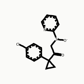 O=C(C[S+]([O-])c1ccccn1)C1(c2ccc(Cl)cc2)CC1